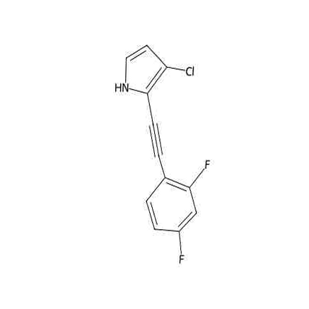 Fc1ccc(C#Cc2[nH]ccc2Cl)c(F)c1